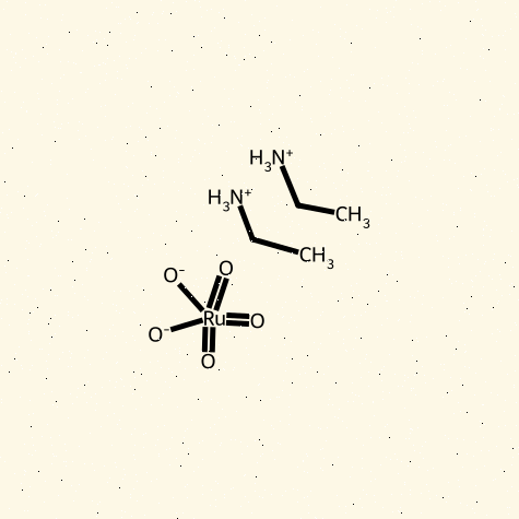 CC[NH3+].CC[NH3+].[O]=[Ru](=[O])(=[O])([O-])[O-]